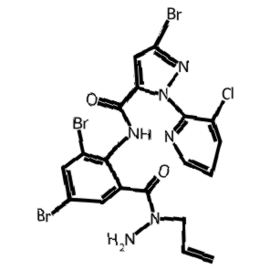 C=CCN(N)C(=O)c1cc(Br)cc(Br)c1NC(=O)c1cc(Br)nn1-c1ncccc1Cl